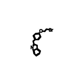 BrCCOc1ccc(CC2=Nc3ccccc3C2)cc1